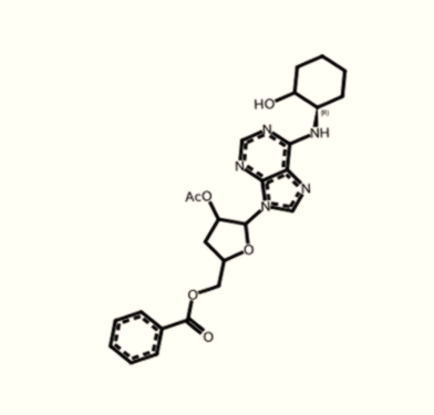 CC(=O)OC1CC(COC(=O)c2ccccc2)OC1n1cnc2c(N[C@@H]3CCCCC3O)ncnc21